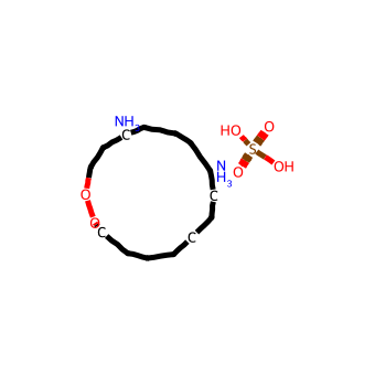 C1CCCCCCCOOCCCCCC1.N.N.O=S(=O)(O)O